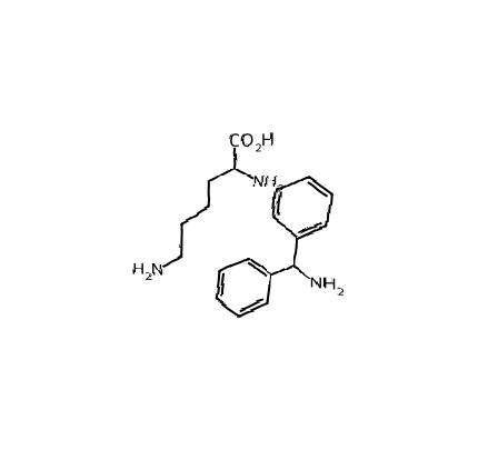 NC(c1ccccc1)c1ccccc1.NCCCCC(N)C(=O)O